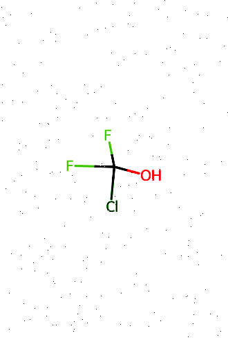 OC(F)(F)Cl